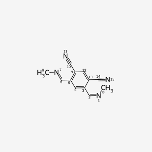 C/N=C\c1cc(/C=N/C)c(C#N)cc1C#N